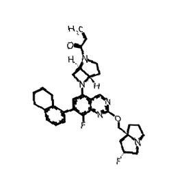 C=CC(=O)N1CC[C@H]2[C@H]1CN2c1cc(-c2cccc3c2CCCC3)c(F)c2nc(OC[C@@]34CCCN3C[C@H](F)C4)ncc12